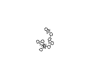 c1ccc(-c2nc(-c3cccc(-c4cccc5c4sc4ccc(-c6cccc(-c7nc8ccccc8s7)c6)cc45)c3)nc(-c3cccc4c3sc3ccccc34)n2)cc1